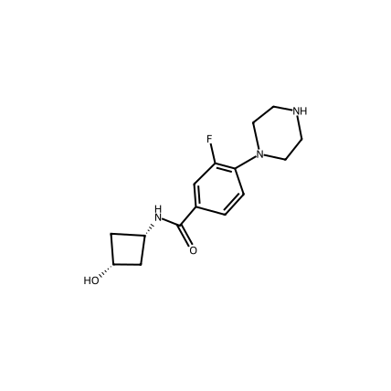 O=C(N[C@H]1C[C@@H](O)C1)c1ccc(N2CCNCC2)c(F)c1